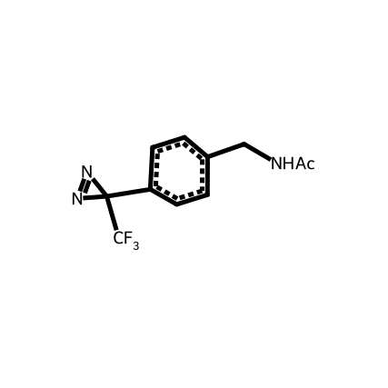 CC(=O)NCc1ccc(C2(C(F)(F)F)N=N2)cc1